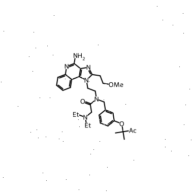 CCN(CC)CC(=O)N(CCn1c(CCOC)nc2c(N)nc3ccccc3c21)Cc1cccc(OC(C)(C)C(C)=O)c1